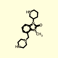 Cn1c(=O)n(C2CCCNC2)c2cccc(CN3CCNCC3)c21